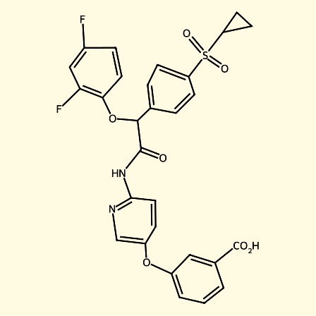 O=C(O)c1cccc(Oc2ccc(NC(=O)C(Oc3ccc(F)cc3F)c3ccc(S(=O)(=O)C4CC4)cc3)nc2)c1